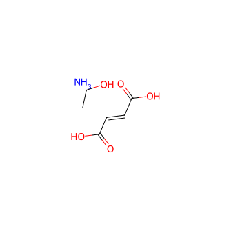 CCO.N.O=C(O)/C=C/C(=O)O